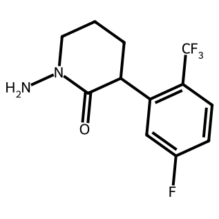 NN1CCCC(c2cc(F)ccc2C(F)(F)F)C1=O